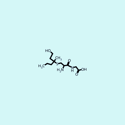 CCCC(C)(CCO)SCC(N)C(=O)NCC(=O)O